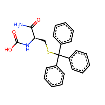 NC(=O)[C@@H](CSC(c1ccccc1)(c1ccccc1)c1ccccc1)NC(=O)O